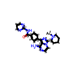 CC(=O)N1CCCC[C@H]1c1nc(-c2ccc(C(=O)Nc3ncccn3)cc2)c2c(N)nccn12